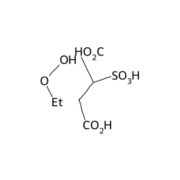 CCOO.O=C(O)CC(C(=O)O)S(=O)(=O)O